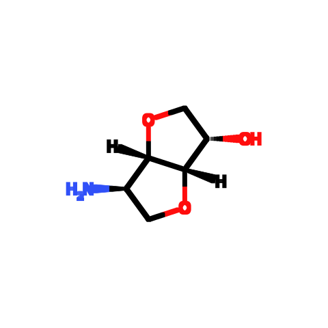 N[C@@H]1CO[C@@H]2[C@H]1OC[C@@H]2O